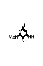 CNC1=NC(Cl)=CC(=N)C1=N